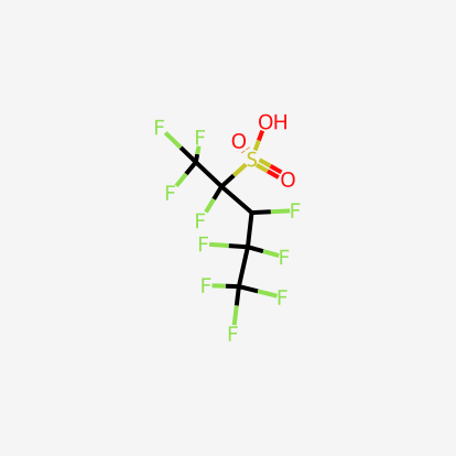 O=S(=O)(O)C(F)(C(F)C(F)(F)C(F)(F)F)C(F)(F)F